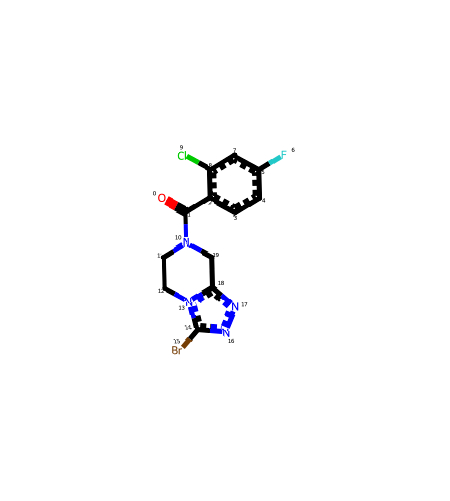 O=C(c1ccc(F)cc1Cl)N1CCn2c(Br)nnc2C1